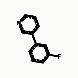 Fc1c[c]cc(-c2cccnc2)c1